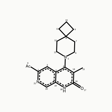 CC(=O)c1cc2c(N3CCC4(CCC4)CC3)c(C)c(=O)[nH]c2cn1